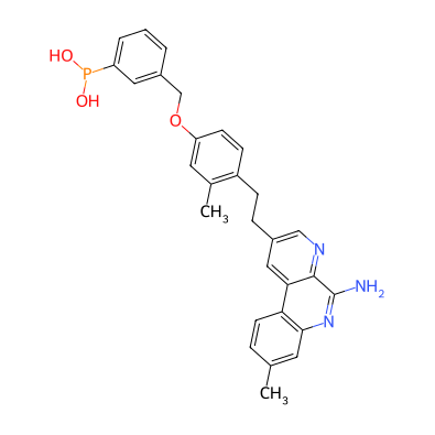 Cc1ccc2c(c1)nc(N)c1ncc(CCc3ccc(OCc4cccc(P(O)O)c4)cc3C)cc12